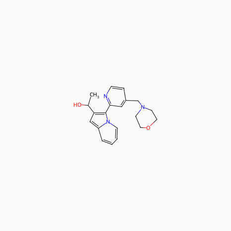 CC(O)c1cc2ccccn2c1-c1cc(CN2CCOCC2)ccn1